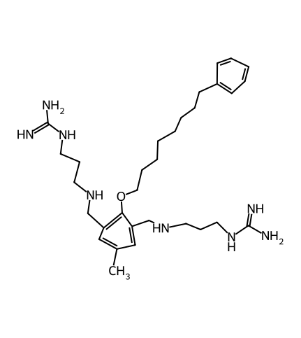 Cc1cc(CNCCCNC(=N)N)c(OCCCCCCCCc2ccccc2)c(CNCCCNC(=N)N)c1